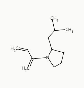 C=CC(=C)N1CCCC1CC(C)C